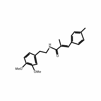 COc1ccc(CCNC(=O)/C(C)=C/c2ccc(C)cc2)cc1OC